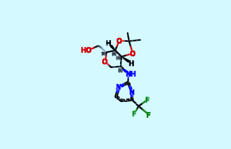 CC1(C)O[C@@H]2[C@H](O1)[C@@H](Nc1nccc(C(F)(F)F)n1)CO[C@@H]2CO